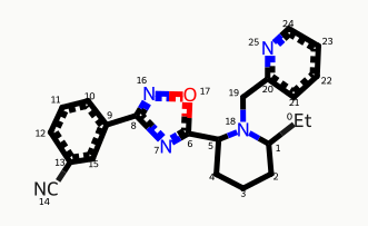 CCC1CCCC(c2nc(-c3cccc(C#N)c3)no2)N1Cc1ccccn1